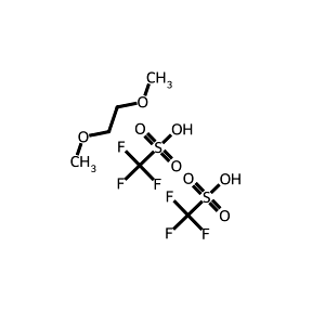 COCCOC.O=S(=O)(O)C(F)(F)F.O=S(=O)(O)C(F)(F)F